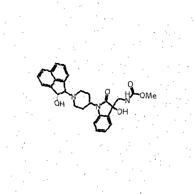 COC(=O)NCC1(O)C(=O)N(C2CCN(C3c4cccc5cccc(c45)[C@H]3O)CC2)c2ccccc21